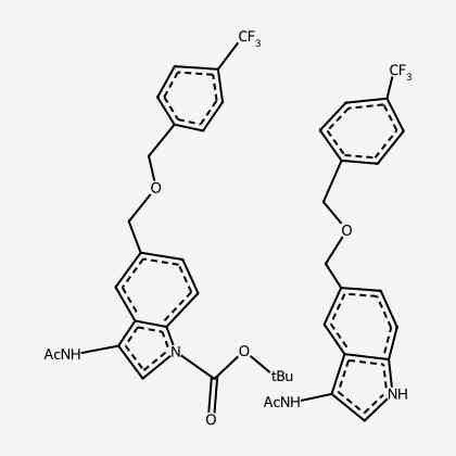 CC(=O)Nc1c[nH]c2ccc(COCc3ccc(C(F)(F)F)cc3)cc12.CC(=O)Nc1cn(C(=O)OC(C)(C)C)c2ccc(COCc3ccc(C(F)(F)F)cc3)cc12